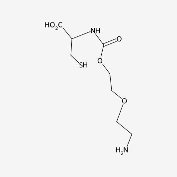 NCCOCCOC(=O)NC(CS)C(=O)O